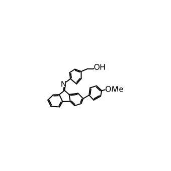 COc1ccc(-c2ccc3c(c2)C(=Nc2ccc(CCO)cc2)c2ccccc2-3)cc1